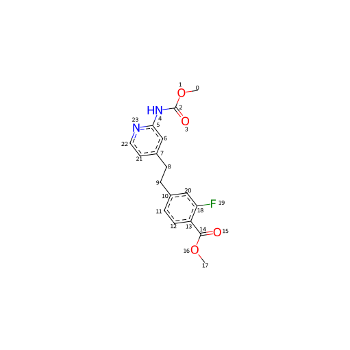 COC(=O)Nc1cc(CCc2ccc(C(=O)OC)c(F)c2)ccn1